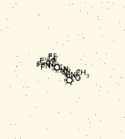 CC(=O)Nc1ccccc1-c1cn(-c2ccc(-n3nc(C(F)(F)F)cc3C(F)(F)F)cc2)nn1